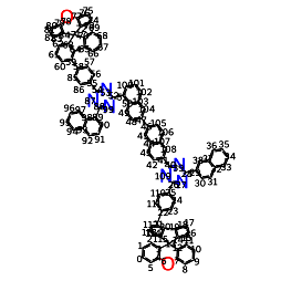 c1ccc2c(c1)Oc1ccccc1C21c2ccccc2-c2c(-c3ccc(-c4nc(-c5ccc6ccccc6c5)nc(-c5ccc6cc(-c7ccc8c(-c9nc(-c%10ccc(-c%11cccc%12c%11-c%11ccccc%11C%12%11c%12ccccc%12Oc%12ccccc%12%11)cc%10)nc(-c%10cccc%11ccccc%10%11)n9)cccc8c7)ccc6c5)n4)cc3)cccc21